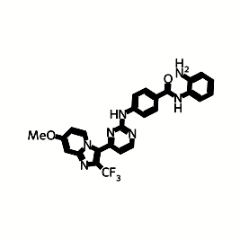 COc1ccn2c(-c3ccnc(Nc4ccc(C(=O)Nc5ccccc5N)cc4)n3)c(C(F)(F)F)nc2c1